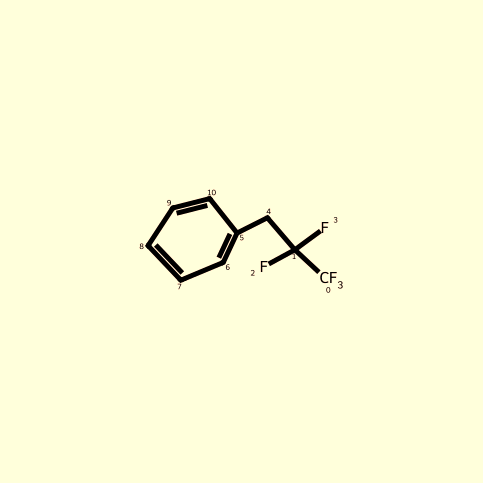 FC(F)(F)C(F)(F)Cc1c[c]ccc1